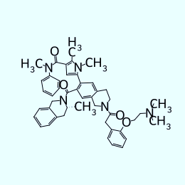 Cc1c(C(=O)N(C)c2ccccc2)cc(-c2cc3c(cc2C(=O)N2Cc4ccccc4C[C@H]2C)CN(C(=O)Cc2ccccc2OCCN(C)C)CC3)n1C